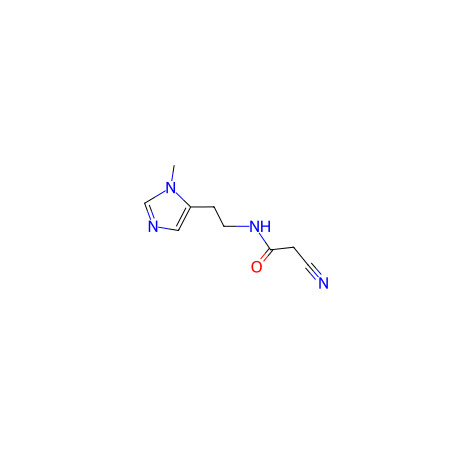 Cn1cncc1CCNC(=O)CC#N